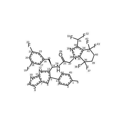 Cc1ccc(-c2cc3scnc3nc2[C@@H](Cc2cc(F)cc(F)c2)NC(=O)Cn2nc(C(F)F)c3c2C(F)(F)CCC3(F)F)cc1